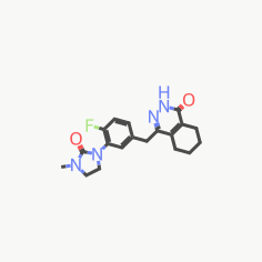 CN1CCN(c2cc(Cc3n[nH]c(=O)c4c3CCCC4)ccc2F)C1=O